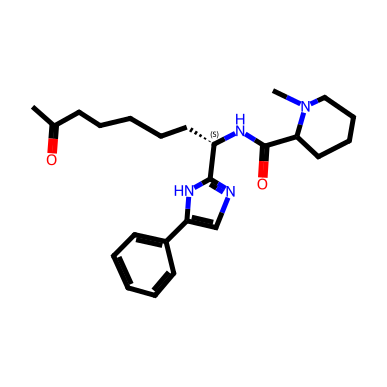 CC(=O)CCCCC[C@H](NC(=O)C1CCCCN1C)c1ncc(-c2ccccc2)[nH]1